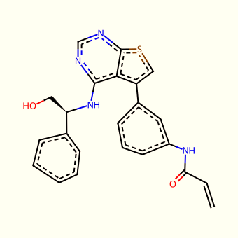 C=CC(=O)Nc1cccc(-c2csc3ncnc(N[C@H](CO)c4ccccc4)c23)c1